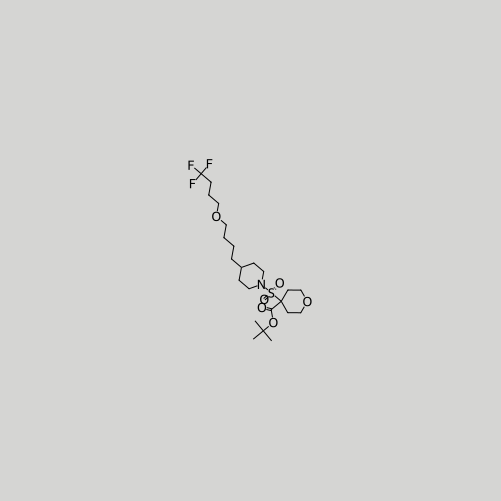 CC(C)(C)OC(=O)C1(S(=O)(=O)N2CCC(CCCCOCCCC(F)(F)F)CC2)CCOCC1